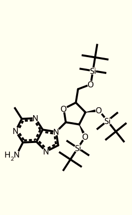 Cc1nc(N)c2ncn(C3OC(CO[Si](C)(C)C(C)(C)C)[C@@H](O[Si](C)(C)C(C)(C)C)[C@H]3O[Si](C)(C)C(C)(C)C)c2n1